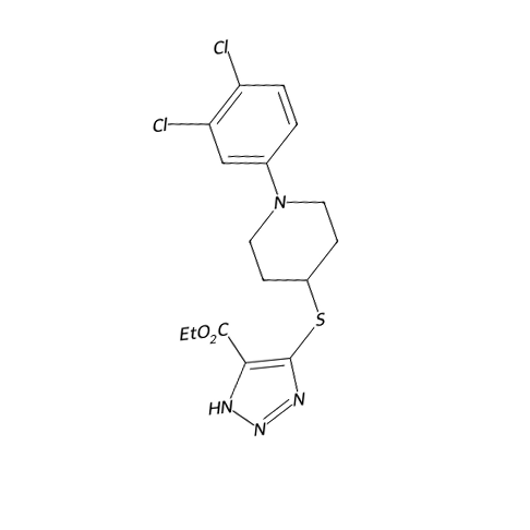 CCOC(=O)c1[nH]nnc1SC1CCN(c2ccc(Cl)c(Cl)c2)CC1